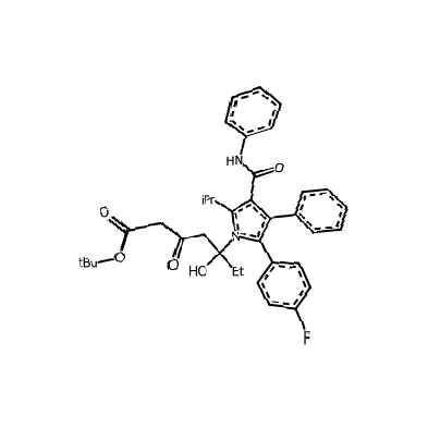 CCC(O)(CC(=O)CC(=O)OC(C)(C)C)n1c(-c2ccc(F)cc2)c(-c2ccccc2)c(C(=O)Nc2ccccc2)c1C(C)C